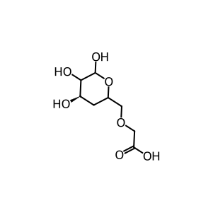 O=C(O)COCC1C[C@@H](O)C(O)C(O)O1